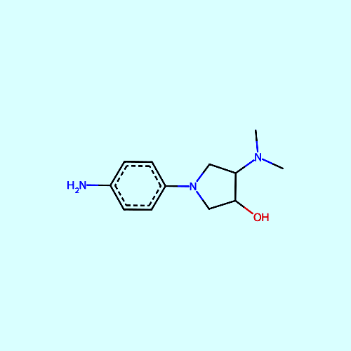 CN(C)C1CN(c2ccc(N)cc2)CC1O